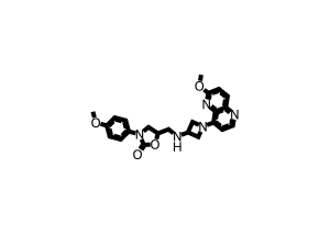 COc1ccc(N2CC(CNC3CN(c4ccnc5ccc(OC)nc45)C3)OC2=O)cc1